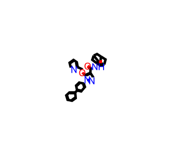 O=C(NC12CC3CC(CC(C3)C1)C2)c1cnn(-c2ccc(-c3ccccc3)cc2)c1OCc1ccccn1